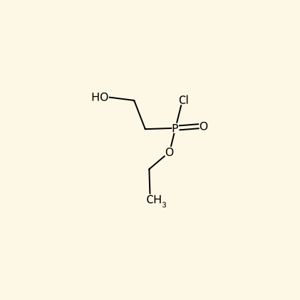 CCOP(=O)(Cl)CCO